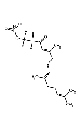 CC(C)=CCCC(C)=CCCC(C)=CC(=O)C(F)(F)C(F)(F)O[PH](=O)O